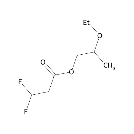 CCOC(C)COC(=O)CC(F)F